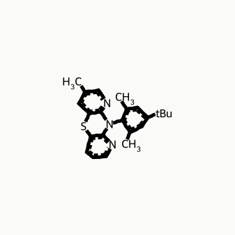 Cc1cnc2c(c1)Sc1cccnc1N2c1c(C)cc(C(C)(C)C)cc1C